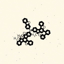 CC1(C)c2cc(N(c3ccc4c(c3)C(C)(C)c3c5c(c6oc7ccccc7c6c3-4)-c3ccccc3C5(C)C)c3ccc4c(c3)oc3ccccc34)ccc2-c2c1cc(-c1ccccc1-c1ccccc1)c1oc3ccccc3c21